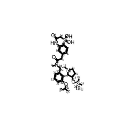 CN(C(=O)Cc1ccc2c(c1)NC(=O)CS2(O)O)[C@H](CN1CCC(O[Si](C)(C)C(C)(C)C)C1)c1cccc(OC(F)F)c1